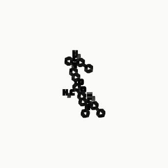 Cc1ccc(-c2ccccc2)cc1N(c1ccccc1)c1ccc2cc3c(cc2c1)oc1c3cc(C)c2c3cc4ccc(N(c5ccccc5)c5cc(-c6ccccc6)ccc5C)cc4cc3oc12